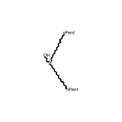 CCCCCC=CCC=CCCCCCCCCCCN(CCCO)CCCCCCCCCCC=CCC=CCCCCC